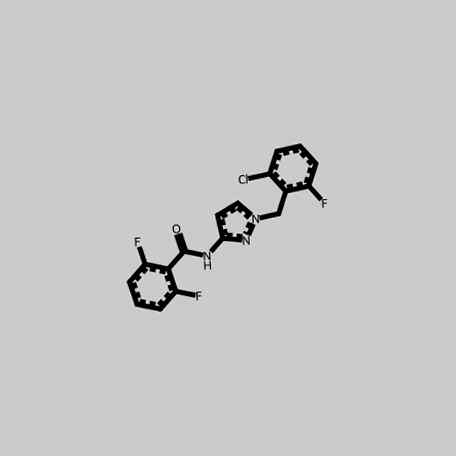 O=C(Nc1ccn(Cc2c(F)cccc2Cl)n1)c1c(F)cccc1F